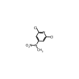 CN(c1cc(Cl)nc(Cl)c1)[N+](=O)[O-]